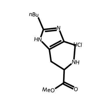 CCCCc1nc2c([nH]1)CC(C(=O)OC)NC2.Cl